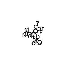 O=C(CN1C(=O)c2ccccc2C1=O)OC(Cc1c(Cl)cncc1Cl)c1ccc(OC(F)F)c(OCC2CC2)c1